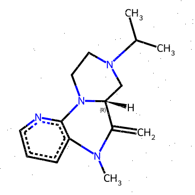 C=C1[C@H]2CN(C(C)C)CCN2c2ncccc2N1C